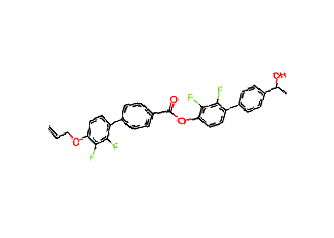 C=CCOc1ccc(-c2ccc(C(=O)Oc3ccc(-c4ccc(C(C)O)cc4)c(F)c3F)cc2)c(F)c1F